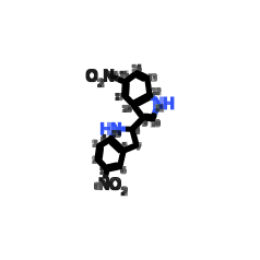 O=[N+]([O-])c1ccc2c(c1)CC(c1c[nH]c3ccc([N+](=O)[O-])cc13)N2